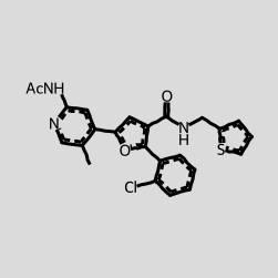 CC(=O)Nc1cc(-c2cc(C(=O)NCc3cccs3)c(-c3ccccc3Cl)o2)c(C)cn1